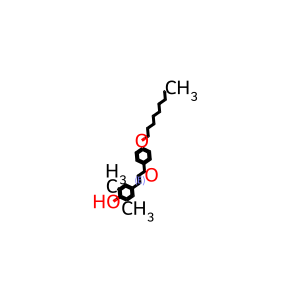 CCCCCCCCCOc1ccc(C(=O)/C=C/c2cc(C)c(O)c(C)c2)cc1